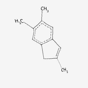 CC1=Cc2cc(C)c(C)cc2C1